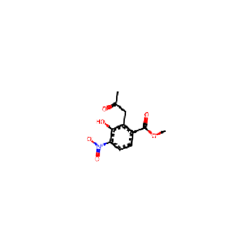 COC(=O)c1ccc([N+](=O)[O-])c(O)c1CC(C)=O